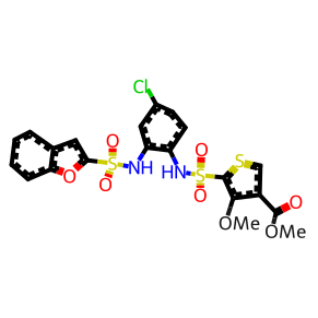 COC(=O)c1csc(S(=O)(=O)Nc2ccc(Cl)cc2NS(=O)(=O)c2cc3ccccc3o2)c1OC